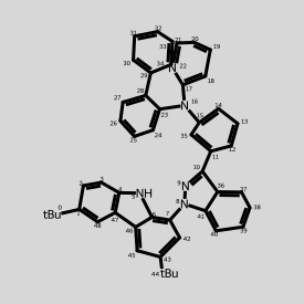 CC(C)(C)c1ccc2[nH]c3c(-n4nc(-c5cccc(N(c6ccccn6)c6ccccc6-c6ccccc6)c5)c5ccccc54)cc(C(C)(C)C)cc3c2c1